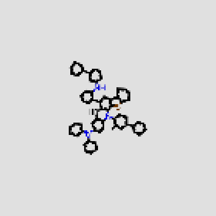 Cc1cc(-c2ccccc2)ccc1N1c2ccc(N(c3ccccc3)c3ccccc3)cc2Bc2c(-c3ccccc3Nc3cccc(-c4ccccc4)c3)cc3c(sc4ccccc43)c21